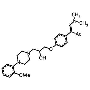 COc1ccccc1N1CCN(CC(O)COc2ccc(C(=CN(C)C)C(C)=O)cc2)CC1